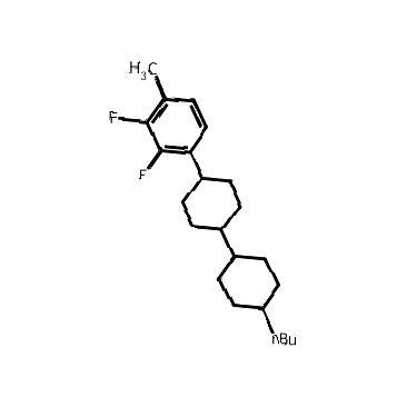 CCCCC1CCC(C2CCC(c3ccc(C)c(F)c3F)CC2)CC1